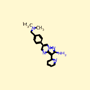 CN(C)Cc1ccc(-c2cnc3c(-c4ccccn4)c(N)nn3c2)cc1